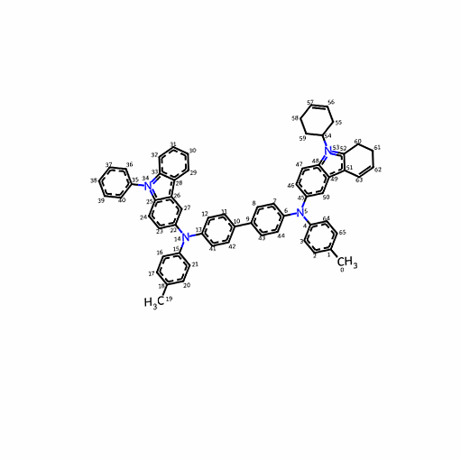 Cc1ccc(N(c2ccc(-c3ccc(N(c4ccc(C)cc4)c4ccc5c(c4)c4ccccc4n5-c4ccccc4)cc3)cc2)c2ccc3c(c2)c2c(n3C3CC=CCC3)CCC=C2)cc1